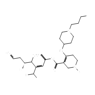 C=C(/C=C(/C(F)F)C(NC)[C@H](CC=N)C(C)C)NC(=N)C1=C(NC2CCN(CCCCl)CC2)CCN(C(C)=O)C1